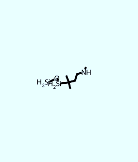 CNCCC(C)(C)[SiH2]O[SiH3]